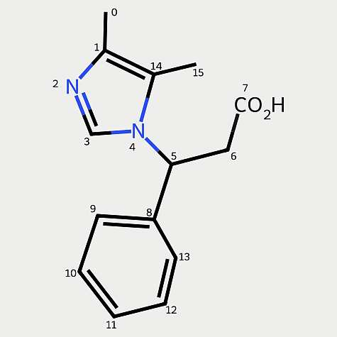 Cc1ncn(C(CC(=O)O)c2ccccc2)c1C